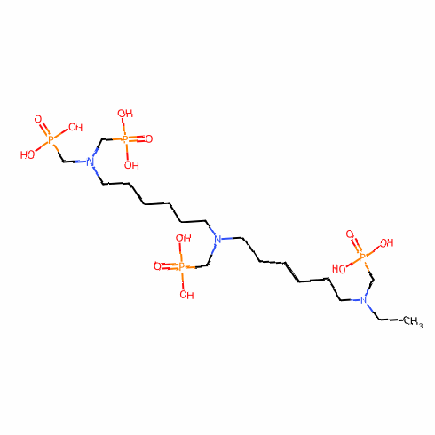 CCN(CCCCCCN(CCCCCCN(CP(=O)(O)O)CP(=O)(O)O)CP(=O)(O)O)CP(=O)(O)O